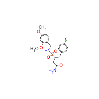 COc1ccc(CNS(=O)(=O)C(CC(N)=O)Cc2ccc(Cl)cc2)c(OC)c1